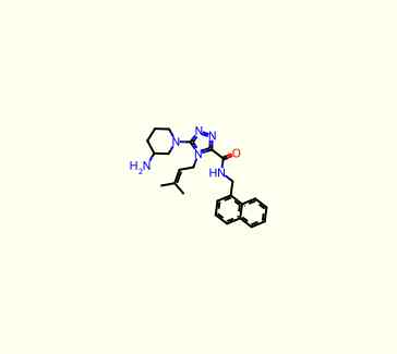 CC(C)=CCn1c(C(=O)NCc2cccc3ccccc23)nnc1N1CCCC(N)C1